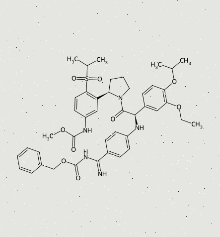 CCOc1cc([C@@H](Nc2ccc(C(=N)NC(=O)OCc3ccccc3)cc2)C(=O)N2CCC[C@@H]2c2cc(NC(=O)OC)ccc2S(=O)(=O)C(C)C)ccc1OC(C)C